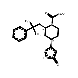 COC(=O)N1CC[C@@H](c2cc(=O)[nH]o2)C[C@H]1CC(C)(C)c1ccccc1